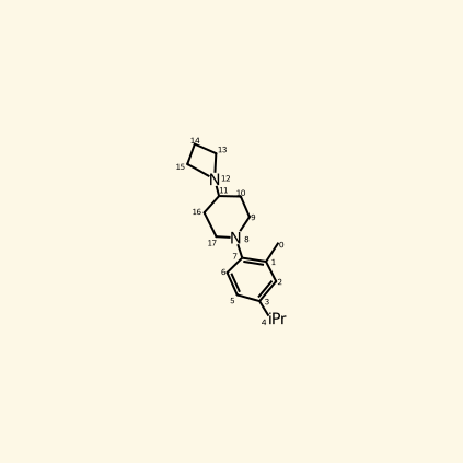 Cc1cc(C(C)C)ccc1N1CCC(N2CCC2)CC1